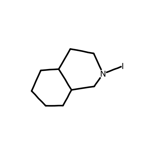 IN1CCC2CCCCC2C1